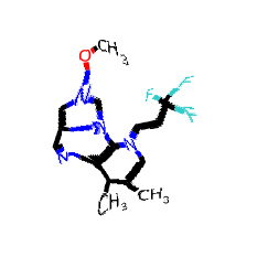 CON1C=C2C=NC3=C(N(CCC(F)(F)F)C=C(C)C3C)N2C1